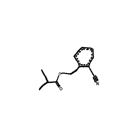 CC(C)C(=O)OCc1ccccc1C#N